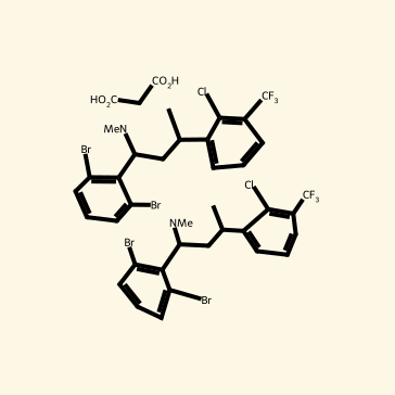 CNC(CC(C)c1cccc(C(F)(F)F)c1Cl)c1c(Br)cccc1Br.CNC(CC(C)c1cccc(C(F)(F)F)c1Cl)c1c(Br)cccc1Br.O=C(O)CC(=O)O